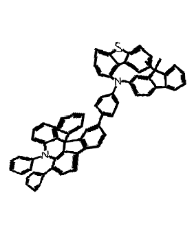 CC1(C)c2ccccc2-c2ccc(N(c3ccc(-c4ccc5c(c4)C4(c6ccccc6)c6ccccc6N(c6ccccc6)c6c(-c7ccccc7)ccc-5c64)cc3)c3cccc4sc5ccccc5c34)cc21